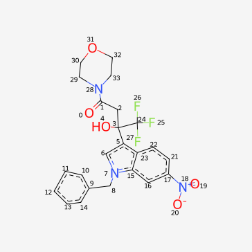 O=C(CC(O)(c1cn(Cc2ccccc2)c2cc([N+](=O)[O-])ccc12)C(F)(F)F)N1CCOCC1